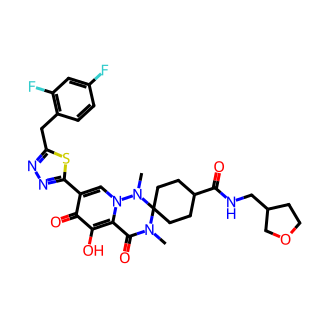 CN1C(=O)c2c(O)c(=O)c(-c3nnc(Cc4ccc(F)cc4F)s3)cn2N(C)C12CCC(C(=O)NCC1CCOC1)CC2